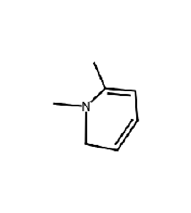 CC1=CC=CCN1C